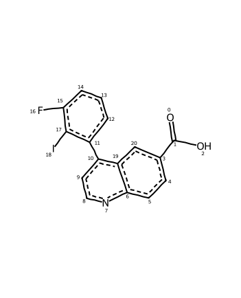 O=C(O)c1ccc2nccc(-c3cccc(F)c3I)c2c1